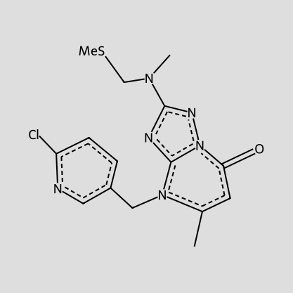 CSCN(C)c1nc2n(Cc3ccc(Cl)nc3)c(C)cc(=O)n2n1